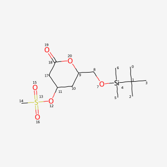 CC(C)(C)[Si](C)(C)OCC1CC(OS(C)(=O)=O)CC(=O)O1